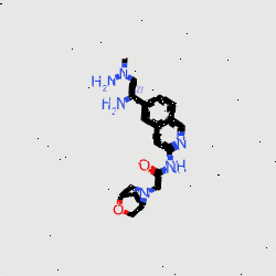 CN(N)/C=C(\N)c1ccc2cnc(NC(=O)CN3CC4CC3CO4)cc2c1